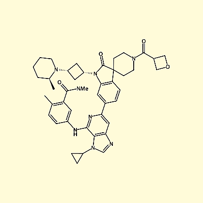 CNC(=O)c1cc(Nc2nc(-c3ccc4c(c3)N([C@H]3C[C@@H](N5CCCC[C@@H]5C)C3)C(=O)C43CCN(C(=O)C4COC4)CC3)cc3ncn(C4CC4)c23)ccc1C